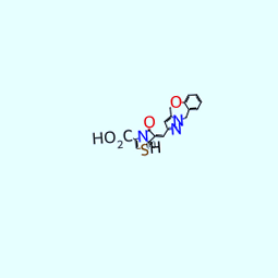 O=C(O)C1=CS[C@@H]2C(=Cc3cc4n(n3)Cc3ccccc3OC4)C(=O)N12